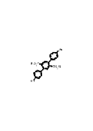 CCOC(=O)c1cc(-c2ccc(C(C)(C)C)cc2)c(C(=O)OCC)cc1-c1ccc(C(C)(C)C)cc1